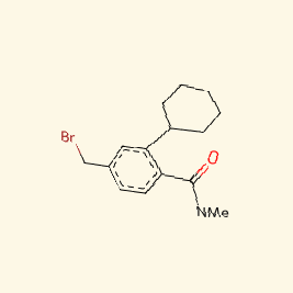 CNC(=O)c1ccc(CBr)cc1C1CCCCC1